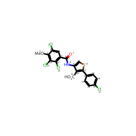 COc1c(Cl)cc(C(=O)Nc2csc(-c3ccc(Cl)cc3)c2C(=O)O)c(Cl)c1Cl